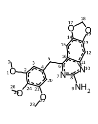 COc1cc(Cc2nc(N)nc3cc4c(cc23)OCO4)cc(OC)c1OC